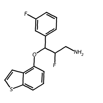 NCC(F)C(Oc1cccc2sccc12)c1cccc(F)c1